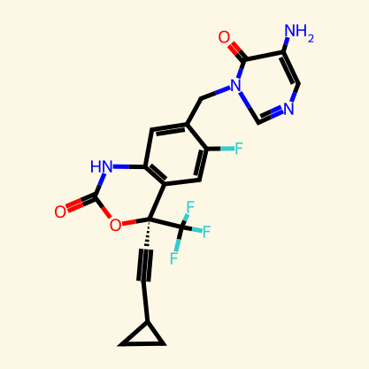 Nc1cncn(Cc2cc3c(cc2F)[C@@](C#CC2CC2)(C(F)(F)F)OC(=O)N3)c1=O